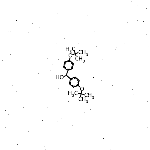 CC(C)(C)Oc1ccc(C(O)c2ccc(OC(C)(C)C)cc2)cc1